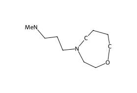 CNCCCN1CCCCOCC1